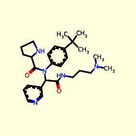 CN(C)CCCNC(=O)C(c1cccnc1)N(C(=O)C1CCCN1)c1ccc(C(C)(C)C)cc1